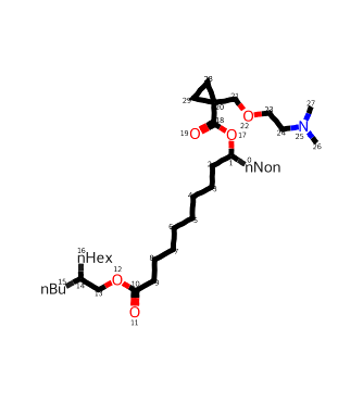 CCCCCCCCCC(CCCCCCCCC(=O)OCC(CCCC)CCCCCC)OC(=O)C1(COCCN(C)C)CC1